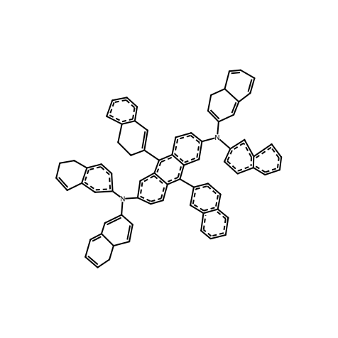 C1=CCC2C=CC(N(c3ccc4c(c3)C=CCC4)c3ccc4c(-c5ccc6ccccc6c5)c5cc(N(C6=CCC7C=CC=CC7=C6)c6ccc7ccccc7c6)ccc5c(C5=Cc6ccccc6CC5)c4c3)=CC2=C1